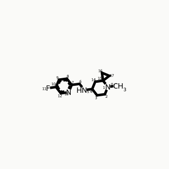 CN1CCC(NCc2ccc(F)cn2)CC12CC2